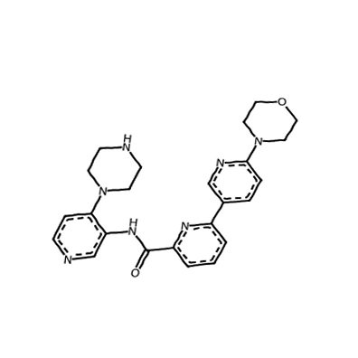 O=C(Nc1cnccc1N1CCNCC1)c1cccc(-c2ccc(N3CCOCC3)nc2)n1